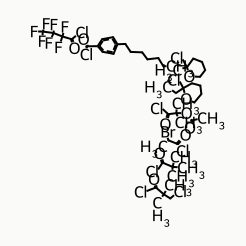 CC(=O)OC(C)(C)C(=O)Cl.CC(Br)C(=O)Cl.CC(C)(C)C(=O)Cl.CC(C)(CCl)C(=O)Cl.CC1(Cl)CCCCO1.CCC1(Cl)CCCCO1.CCCCCCCc1ccc(C(=O)Cl)cc1.O=C(Cl)C(F)(F)C(F)(F)C(F)(F)F